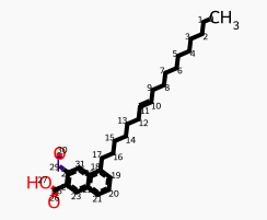 CCCCCCCCCCC=CCCCCCCc1cccc2cc(C(=O)O)c(I=O)cc12